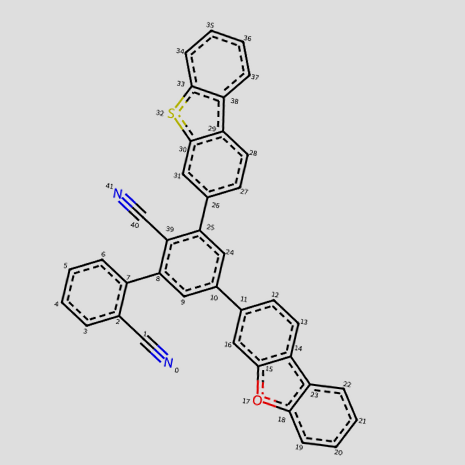 N#Cc1ccccc1-c1cc(-c2ccc3c(c2)oc2ccccc23)cc(-c2ccc3c(c2)sc2ccccc23)c1C#N